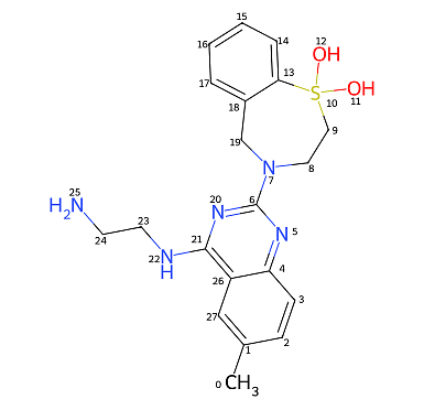 Cc1ccc2nc(N3CCS(O)(O)c4ccccc4C3)nc(NCCN)c2c1